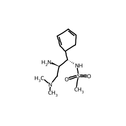 CN(C)C[C@@H](N)[C@@H](NS(C)(=O)=O)C1C=CC=CC1